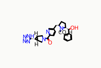 O=C(c1ccc(C[C@@H]2CC[C@H](C(O)c3ccccc3)N2C(=O)O)cn1)N1C[C@@H]2[C@H](C1)[C@H]2c1nnn[nH]1